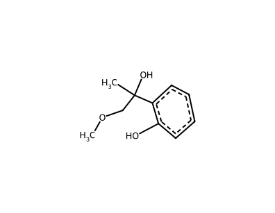 COCC(C)(O)c1ccccc1O